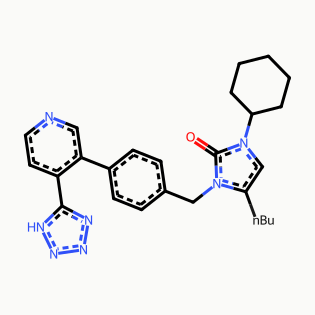 CCCCc1cn(C2CCCCC2)c(=O)n1Cc1ccc(-c2cnccc2-c2nnn[nH]2)cc1